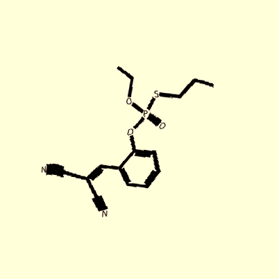 CCCSP(=O)(OCC)Oc1ccccc1C=C(C#N)C#N